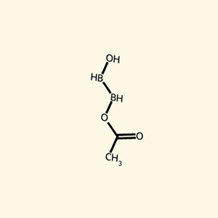 CC(=O)OBBO